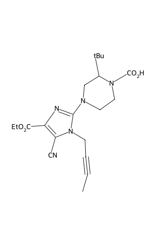 CC#CCn1c(N2CCN(C(=O)O)C(C(C)(C)C)C2)nc(C(=O)OCC)c1C#N